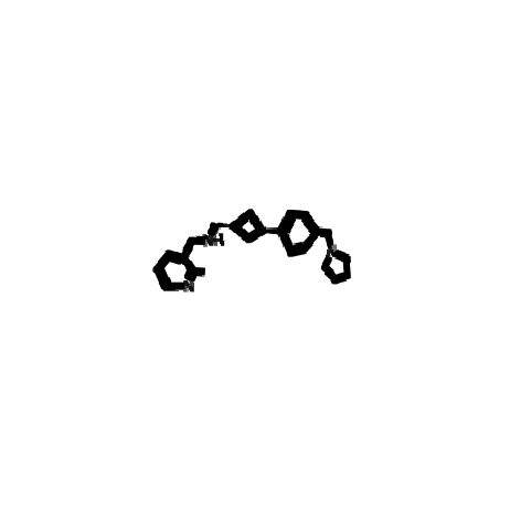 Cc1ncccc1CNC[C@H]1C[C@H](c2ccc(CN3CCCC3)cc2)C1